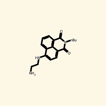 CCCCN1C(=O)c2cccc3c(NCCN)ccc(c23)C1=O